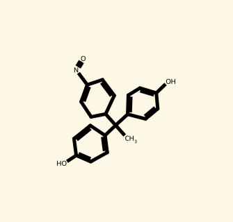 CC(c1ccc(O)cc1)(c1ccc(O)cc1)C1C=CC(N=O)=CC1